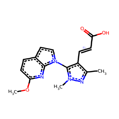 COc1ccc2ccn(-c3c(/C=C/C(=O)O)c(C)nn3C)c2n1